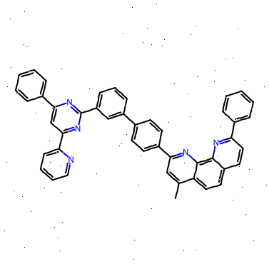 Cc1cc(-c2ccc(-c3cccc(-c4nc(-c5ccccc5)cc(-c5ccccn5)n4)c3)cc2)nc2c1ccc1ccc(-c3ccccc3)nc12